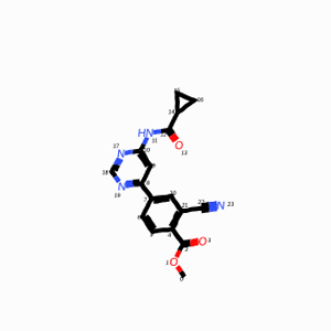 COC(=O)c1ccc(-c2cc(NC(=O)C3CC3)ncn2)cc1C#N